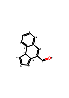 O=CC1=Cc2ccccc2C2C=CC=C12